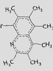 Cc1nc2c(Br)c(C)c(C)c(C)c2c(C)c1C